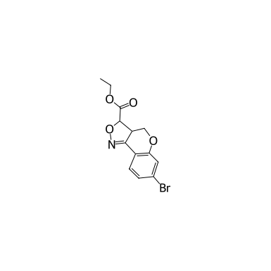 CCOC(=O)C1ON=C2c3ccc(Br)cc3OCC21